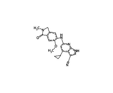 COc1cc2c(cc1Nc1cc(C3CC3)c3c(C#N)c[nH]c3n1)CN(C)C2=O